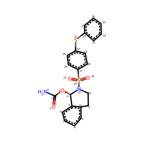 NC(=O)O[C@@H]1c2ccccc2CCN1S(=O)(=O)c1ccc(Sc2ccccc2)cc1